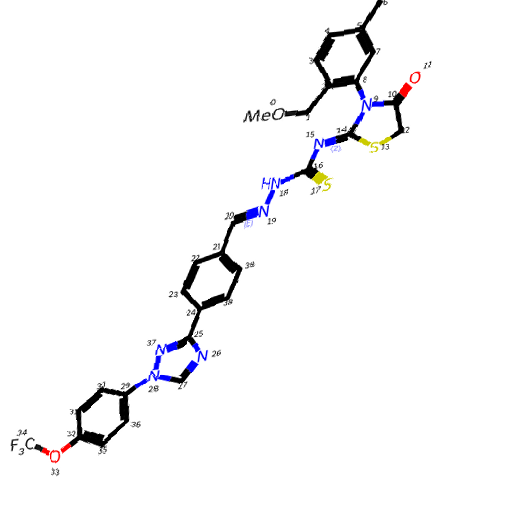 COCc1ccc(C)cc1N1C(=O)CS/C1=N\C(=S)N/N=C/c1ccc(-c2ncn(-c3ccc(OC(F)(F)F)cc3)n2)cc1